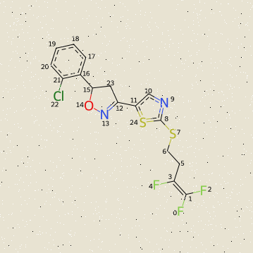 FC(F)=C(F)CCSc1ncc(C2=NOC(c3ccccc3Cl)C2)s1